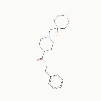 O=C(OCc1ccccc1)C1CCN(CC2(O)CCOCC2)CC1